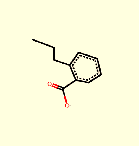 CCCc1ccccc1C([O])=O